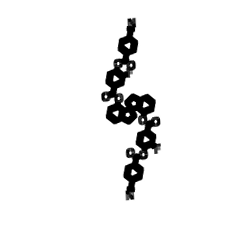 N#Cc1ccc(C(=O)Oc2ccc(C(=O)Oc3cccc4c3C3(CC4)CCc4cccc(OC(=O)c5ccc(OC(=O)c6ccc(C#N)cc6)c(F)c5)c43)cc2F)cc1